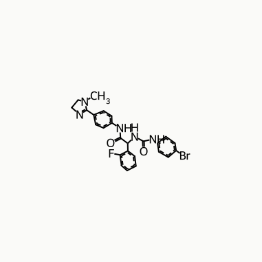 CN1CCN=C1c1ccc(NC(=O)C(NC(=O)Nc2ccc(Br)cc2)c2ccccc2F)cc1